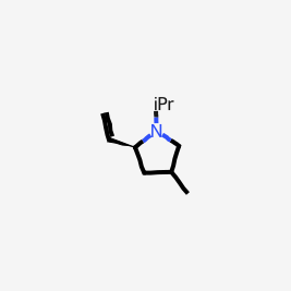 C=C[C@@H]1CC(C)CN1C(C)C